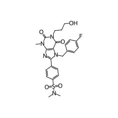 CN(C)S(=O)(=O)c1ccc(-c2nc3c(c(=O)n(CCCO)c(=O)n3C)n2Cc2ccc(F)cc2)cc1